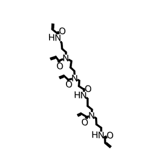 C=CC(=O)NCCCN(CCCNC(=O)CCN(CCCN(CCCNC(=O)C=C)C(=O)C=C)C(=O)C=C)C(=O)C=C